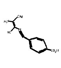 N#C/C(N)=C(C#N)\N=C\c1ccc(C(=O)O)cc1